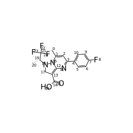 CC1=CC(c2ccc(F)cc2)=NC2=C(C(=O)O)CN([C@H](C)C(F)(F)F)N12